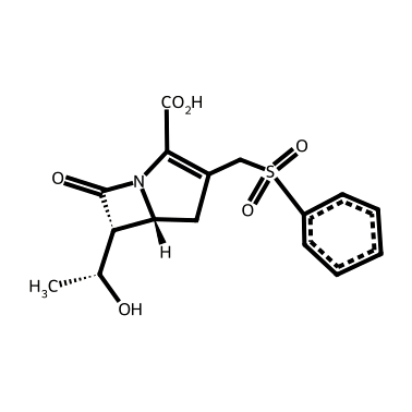 C[C@@H](O)[C@@H]1C(=O)N2C(C(=O)O)=C(CS(=O)(=O)c3ccccc3)C[C@H]12